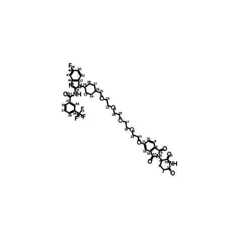 O=C1CCC(N2C(=O)c3ccc(OCCOCCOCCOCCOCC4CCC(n5c(NC(=O)c6cccc(C(F)(F)F)c6)nc6cc(F)ccc65)CC4)cc3C2=O)C(=O)N1